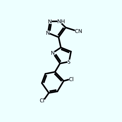 N#Cc1[nH]nnc1-c1csc(-c2ccc(Cl)cc2Cl)n1